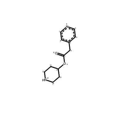 O=C(Cc1ccncc1)OC1CCNCC1